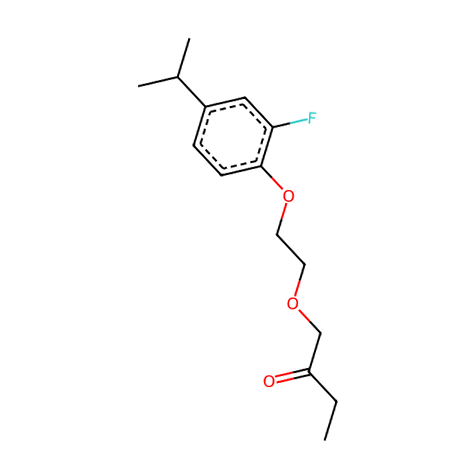 CCC(=O)COCCOc1ccc(C(C)C)cc1F